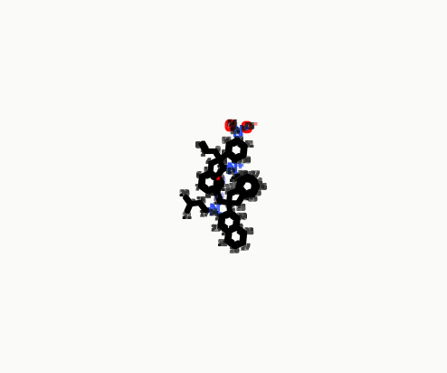 C=CCC1(Cc2ccccc2)C(/C=C/C=C2/N(CCC(C)C)c3cc4ccccc4cc3C2(Cc2ccccc2)Cc2ccccc2)=[N+](C)c2ccc([N+](=O)[O-])cc21